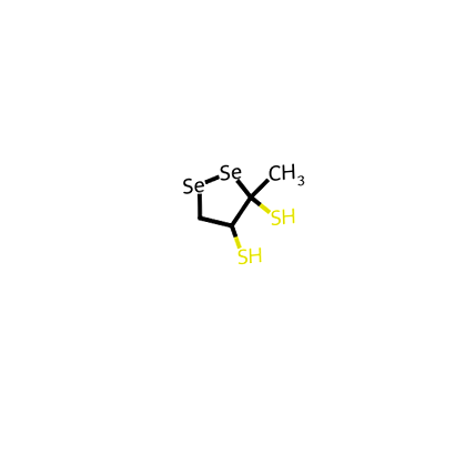 CC1(S)[Se][Se]CC1S